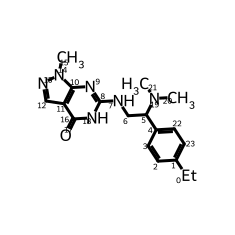 CCc1ccc(C(CNc2nc3c(cnn3C)c(=O)[nH]2)N(C)C)cc1